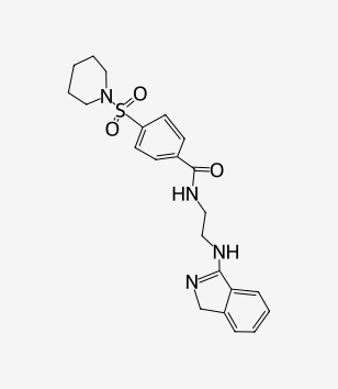 O=C(NCCNC1=NCc2ccccc21)c1ccc(S(=O)(=O)N2CCCCC2)cc1